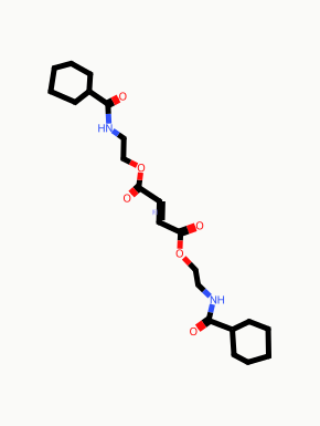 O=C(/C=C/C(=O)OCCNC(=O)C1CCCCC1)OCCNC(=O)C1CCCCC1